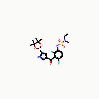 CCN(C)S(=O)(=O)Nc1ccc(F)c(C(=O)c2c[nH]c(B3OC(C)(C)C(C)(C)O3)c2)c1F